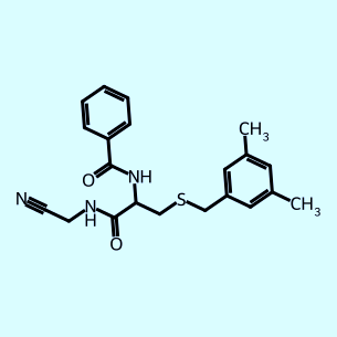 Cc1cc(C)cc(CSCC(NC(=O)c2ccccc2)C(=O)NCC#N)c1